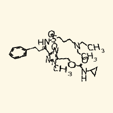 CCN(CC)CCCS(=O)(=O)N[C@H](CCc1ccccc1)c1nc(COC(=O)NC2CC2)n(C)n1